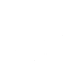 COCOCC1(COCC2COC(CO)C2O)OC(OC)C(O)C1O